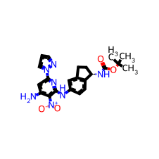 CC(C)(C)OC(=O)N[C@H]1CCc2cc(Nc3nc(-n4cccn4)cc(N)c3[N+](=O)[O-])ccc21